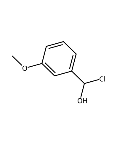 COc1cccc(C(O)Cl)c1